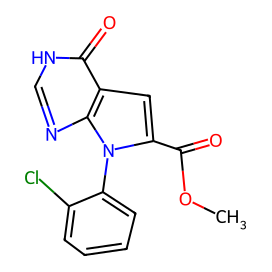 COC(=O)c1cc2c(=O)[nH]cnc2n1-c1ccccc1Cl